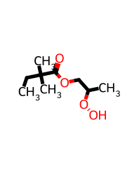 CCC(C)(C)C(=O)OCC(C)OO